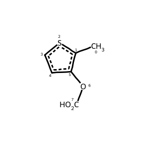 Cc1sccc1OC(=O)O